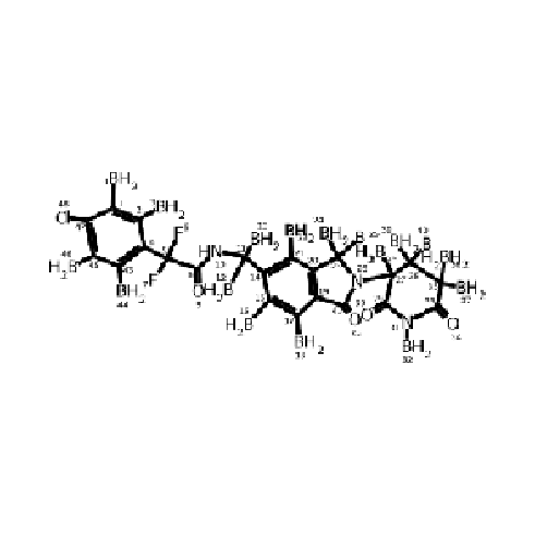 Bc1c(B)c(C(F)(F)C(=O)NC(B)(B)c2c(B)c(B)c3c(c2B)C(B)(B)N(C2(B)C(=O)N(B)C(=O)C(B)(B)C2(B)B)C3=O)c(B)c(B)c1Cl